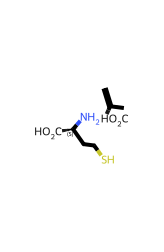 C=C(C)C(=O)O.N[C@@H](CCS)C(=O)O